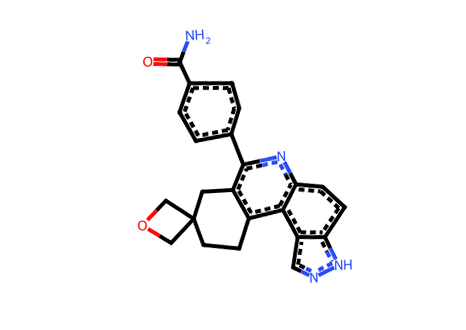 NC(=O)c1ccc(-c2nc3ccc4[nH]ncc4c3c3c2CC2(CC3)COC2)cc1